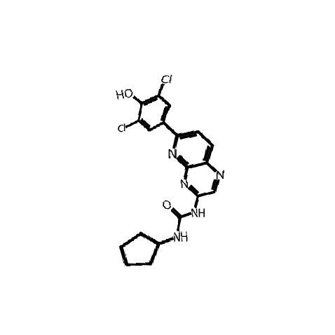 O=C(Nc1cnc2ccc(-c3cc(Cl)c(O)c(Cl)c3)nc2n1)NC1CCCC1